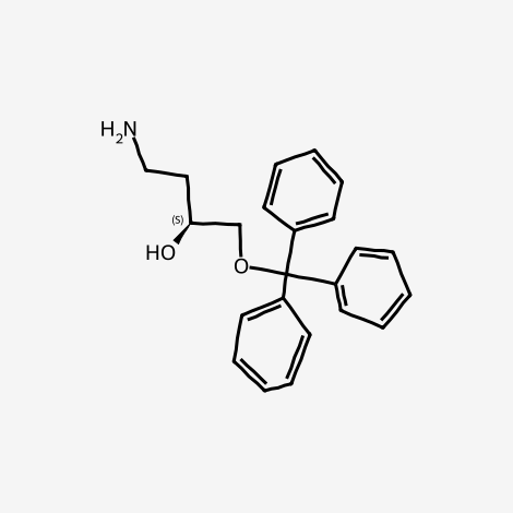 NCC[C@H](O)COC(c1ccccc1)(c1ccccc1)c1ccccc1